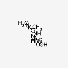 Cc1cc(Nc2ncc(F)c(N[C@H]3CCC[C@@H]3C(=O)O)n2)ccc1N1CCN(C)CC1